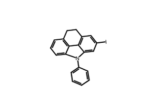 Ic1cc2c3c4c(cccc4n(-c4ccccc4)c3c1)CC2